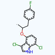 [CH2]C(Cc1ccc(F)cc1)Oc1ccc(Cl)c2[nH]cc(Cl)c12